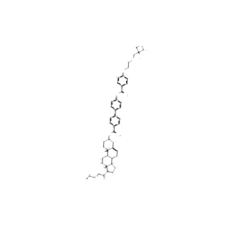 CCC1(COCCOc2ccc(C(=O)Oc3ccc(-c4ccc(C(=O)OC5CCC6(C)C(=CCC7C6CCC6(C)C(C(C)CCCC(C)C)CCC76)C5)cc4)cc3)cc2)COC1